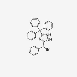 BrC(C1=NN(C(c2ccccc2)(c2ccccc2)c2ccccc2)NN1)c1ccccc1